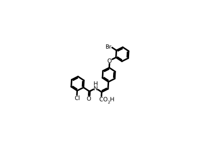 O=C(O)C(=Cc1ccc(Oc2ccccc2Br)cc1)NC(=O)c1ccccc1Cl